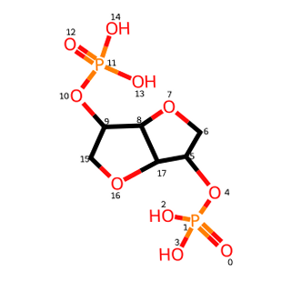 O=P(O)(O)OC1COC2C(OP(=O)(O)O)COC12